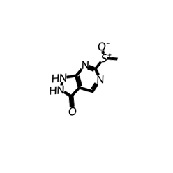 C[S+]([O-])c1ncc2c(=O)[nH][nH]c2n1